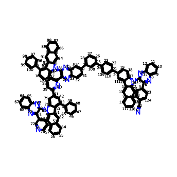 N#Cc1ccc(-c2nc3ccccc3nc2-n2c3ccc(-c4ccc(-c5cccc(-c6ccc7nc(-c8cccc(-c9cc(-c%10ccccc%10)c%10c%11cc%12ccccc%12cc%11n(-c%11nc%12ccccc%12nc%11-c%11cccnc%11)c%10c9)n8)c(-n8c9cc%10ccccc%10cc9c9c(-c%10ccccc%10)cccc98)nc7c6)c5)cc4)cc3c3cc4ccccc4cc32)cc1